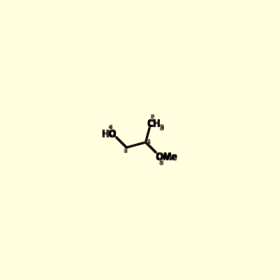 [CH2]OC(C)CO